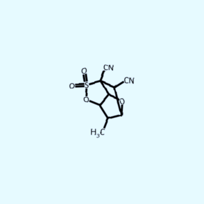 CC1C2OC3C1OS(=O)(=O)C3(C#N)C2C#N